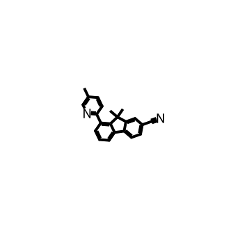 Cc1ccc(-c2cccc3c2C(C)(C)c2cc(C#N)ccc2-3)nc1